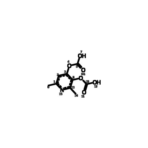 Cc1cc(OC(=O)O)c(OC(=O)O)c(C)n1